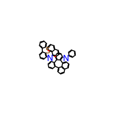 c1ccc(-n2c3cccc4c3c3c5c(cccc5ccc32)-c2cccc(N(c3cccc5ccccc35)c3cccc5c3sc3ccccc35)c2-4)cc1